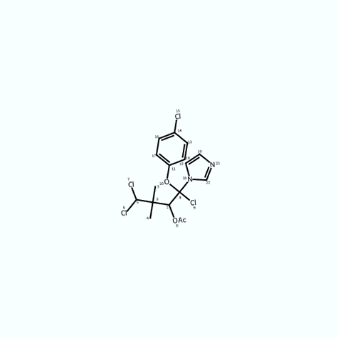 CC(=O)OC(C(C)(C)C(Cl)Cl)C(Cl)(Oc1ccc(Cl)cc1)n1ccnc1